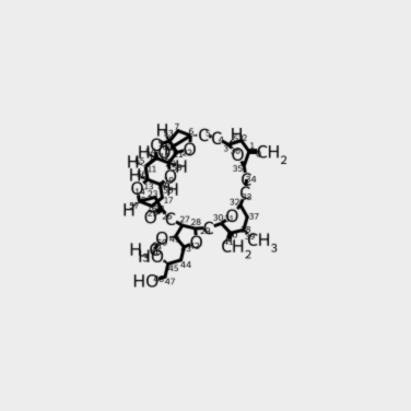 C=C1C[C@@H]2CC[C@@]34C[C@H]5O[C@H]6[C@@H](O3)[C@H]3O[C@H](CC[C@@H]3O[C@H]6[C@H]5O4)CC(=O)CC3C(CC4OC(CCC1O2)C[C@@H](C)C4=C)OC(C[C@H](O)CO)[C@@H]3OC